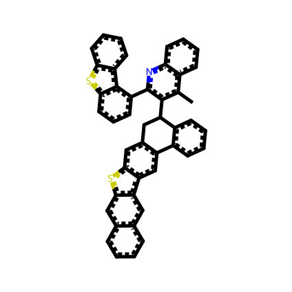 Cc1c(C2Cc3cc4sc5cc6ccccc6cc5c4cc3-c3ccccc32)c(-c2cccc3sc4ccccc4c23)nc2ccccc12